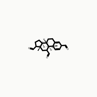 C[C@]12C=CC(C=O)C=C1CC[C@@H]1[C@@H]2C(C=O)C[C@]2(C)C(C=O)CC[C@@H]12